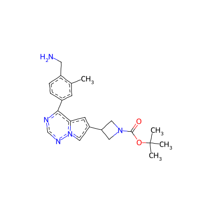 Cc1cc(-c2ncnn3cc(C4CN(C(=O)OC(C)(C)C)C4)cc23)ccc1CN